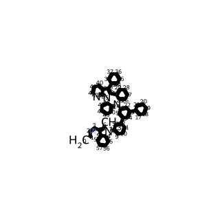 C=C/C=C\c1c(C)n(-c2cccc(-c3cc(-c4ccccc4)cc(N4c5ccccc5-c5c(-c6ccccc6)c6cccnc6n5-c5ccccc54)c3)c2)c2ccccc12